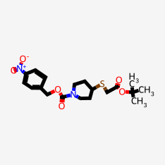 CC(C)(C)OC(=O)CSC1CCN(C(=O)OCc2ccc([N+](=O)[O-])cc2)CC1